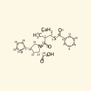 CC(CSC(=O)c1ccccc1)C(=O)N1C[C@@H](c2cccs2)C[C@H]1C(=O)O.[CaH2]